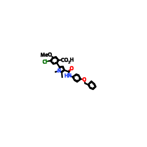 COc1cc(C(=O)O)c(-c2cc(C(=O)Nc3ccc(OCc4ccccc4)cc3)c(C)n2C)cc1Cl